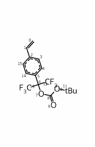 C=Cc1ccc(C(OC(=O)OC(C)(C)C)(C(F)(F)F)C(F)(F)F)cc1